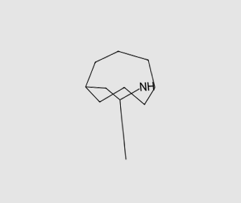 CC1CC2CCCC(CCC2)N1